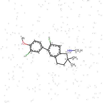 CC(C)Oc1ccc(-c2cc3c(cc2F)[C@H](NC(=O)O)C(C)(C)CC3)cc1F